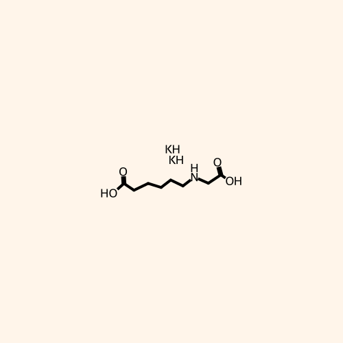 O=C(O)CCCCCNCC(=O)O.[KH].[KH]